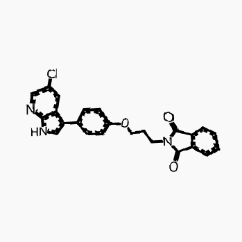 O=C1c2ccccc2C(=O)N1CCCOc1ccc(-c2c[nH]c3ncc(Cl)cc23)cc1